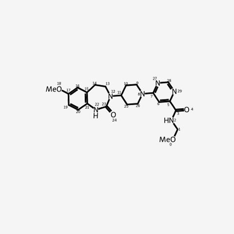 COCNC(=O)c1cc(N2CCC(N3CCc4cc(OC)ccc4NC3=O)CC2)ncn1